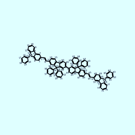 C(=C\c1ccc2c(c1)c1ccccc1n2-c1ccccc1)/c1ccc2c(c1)C(c1ccccc1)(c1ccccc1)c1cc(-c3ccc4c(c3)C(c3ccccc3)(c3ccccc3)c3cc(/C=C/c5ccc6c(c5)c5ccccc5n6-c5ccccc5)ccc3-4)ccc1-2